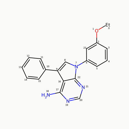 CCOc1cccc(-n2cc(-c3ccccc3)c3c(N)ncnc32)c1